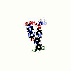 CNC(=O)OCC1CCN(Cc2cc(Oc3cnc(N4CCN(C(=O)O)CC4)nc3)nc(-c3cc(Cl)cc(Cl)c3)c2)CC1